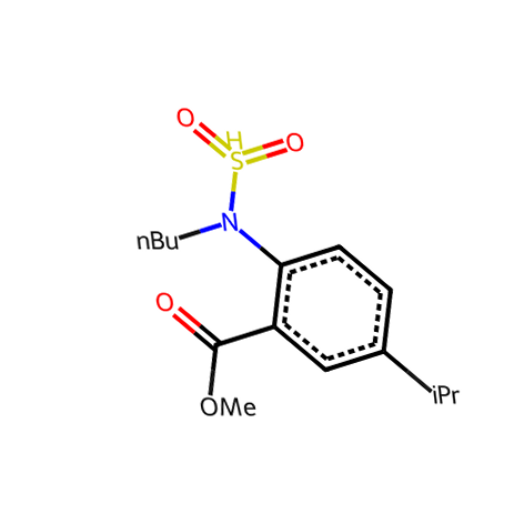 CCCCN(c1ccc(C(C)C)cc1C(=O)OC)[SH](=O)=O